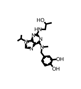 CC(O)CNc1nc(N(C)Cc2ccc(O)c(O)c2)c2ncn(C(C)C)c2n1